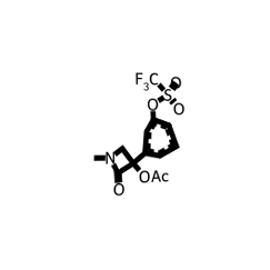 CC(=O)OC1(c2cccc(OS(=O)(=O)C(F)(F)F)c2)CN(C)C1=O